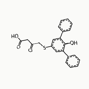 O=C(O)CC(=O)CSc1cc(-c2ccccc2)c(O)c(-c2ccccc2)c1